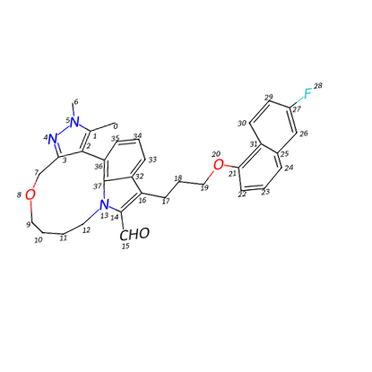 Cc1c2c(nn1C)COCCCCn1c(C=O)c(CCCOc3cccc4cc(F)ccc34)c3cccc-2c31